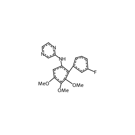 COc1cc(Nc2cnccn2)c(-c2cccc(F)c2)c(OC)c1OC